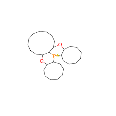 S=P12C3CCCCCCCC3OC3CCCCCCCCCC(OC4CCCCCCCC41)C32